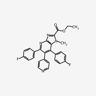 CCOC(=O)c1nc2nc(-c3ccc(F)cc3)c(-c3ccncc3)c(-c3ccc(F)cc3)c2n1C